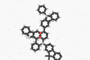 CC1(C)c2ccccc2-c2ccc(N(c3ccc(-c4ccc5c(c4)c4ccccc4n5-c4ccccc4)cc3)c3ccccc3-c3cccc4c3sc3ccccc34)cc21